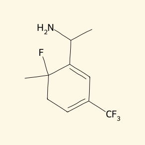 CC(N)C1=CC(C(F)(F)F)=CCC1(C)F